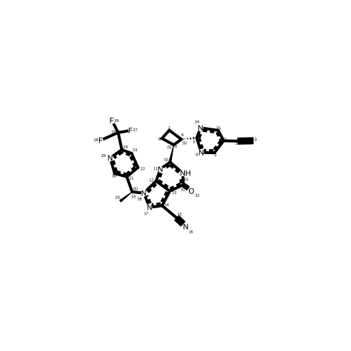 C#Cc1cnc([C@H]2CC[C@@H]2c2nc3c(c(C#N)nn3[C@@H](C)c3ccc(C(F)(F)F)nc3)c(=O)[nH]2)nc1